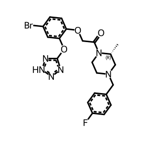 C[C@@H]1CN(Cc2ccc(F)cc2)CCN1C(=O)COc1ccc(Br)cc1Oc1nn[nH]n1